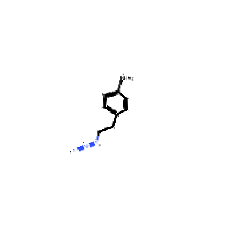 CC(=O)Nc1ccc(CCN=[N+]=[N-])cc1